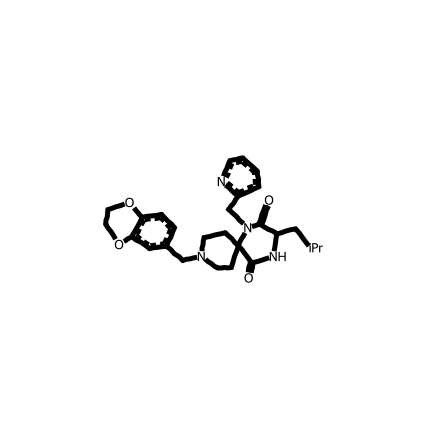 CC(C)CC1NC(=O)C2(CCN(Cc3ccc4c(c3)OCCO4)CC2)N(Cc2ccccn2)C1=O